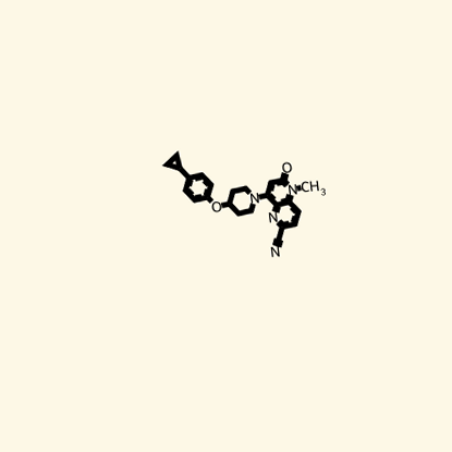 Cn1c(=O)cc(N2CCC(Oc3ccc(C4CC4)cc3)CC2)c2nc(C#N)ccc21